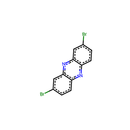 Brc1ccc2nc3ccc(Br)cc3nc2c1